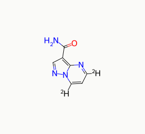 [2H]c1cc([2H])n2ncc(C(N)=O)c2n1